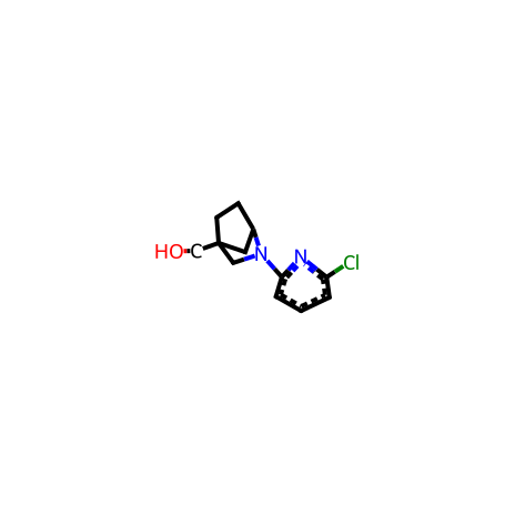 OCC12CCC(C1)N(c1cccc(Cl)n1)C2